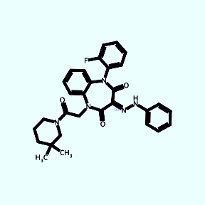 CC1(C)CCCN(C(=O)Cn2c(=O)/c(=N/Nc3ccccc3)c(=O)n(-c3ccccc3F)c3ccccc32)C1